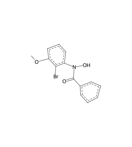 COc1cccc(N(O)C(=O)c2ccccc2)c1Br